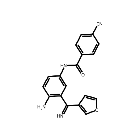 N#Cc1ccc(C(=O)Nc2ccc(N)c(C(=N)c3ccoc3)c2)cc1